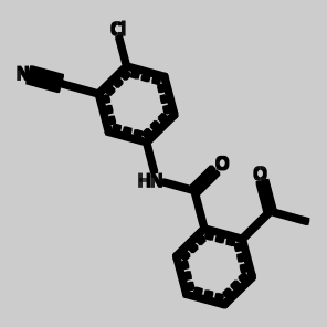 CC(=O)c1ccccc1C(=O)Nc1ccc(Cl)c(C#N)c1